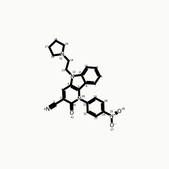 N#Cc1cc2c(c3ccccc3n2CCN2CCCC2)n(-c2ccc([N+](=O)[O-])cc2)c1=O